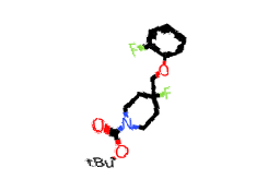 CC(C)(C)OC(=O)N1CCC(F)(COc2ccccc2F)CC1